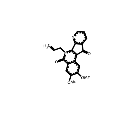 C=CCn1c2c(c3cc(OC)c(OC)cc3c1=O)C(=O)c1cccnc1-2